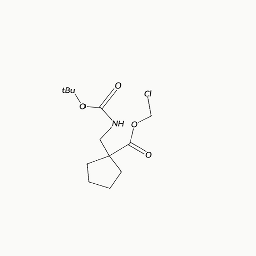 CC(C)(C)OC(=O)NCC1(C(=O)OCCl)CCCC1